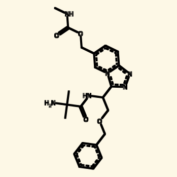 CNC(=O)OCc1ccc2nnc(C(COCc3ccccc3)NC(=O)C(C)(C)N)n2c1